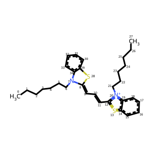 CCCCCCCN1/C(=C/C=C/c2sc3ccccc3[n+]2CCCCCCC)Sc2ccccc21